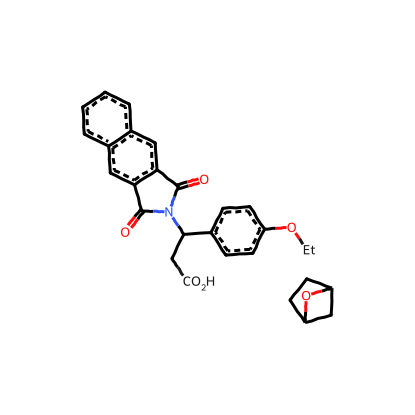 C1CC2CC1O2.CCOc1ccc(C(CC(=O)O)N2C(=O)c3cc4ccccc4cc3C2=O)cc1